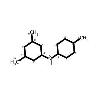 CC1CCC(NC2CC(C)CC(C)C2)CC1